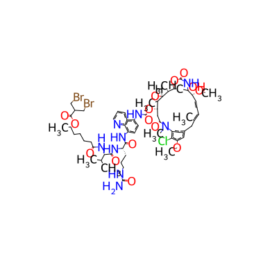 COc1cc2cc(c1Cl)N(C)C(=O)C[C@H](OC(=O)Nc1ccc(NC(=O)[C@H](CCCNC(N)=O)NC(=O)[C@@H](NC(=O)CCCCC(C)OC(=O)C(CBr)CBr)C(C)C)c3ncccc13)[C@]1(C)O[C@H]1[C@H](C)[C@@H]1C[C@@](O)(NC(=O)O1)[C@H](OC)/C=C/C=C(\C)C2